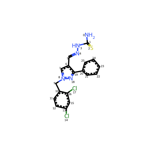 NC(=S)NN=Cc1cn(Cc2ccc(Cl)cc2Cl)nc1-c1ccccc1